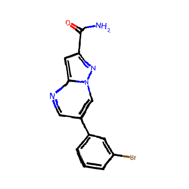 NC(=O)c1cc2ncc(-c3cccc(Br)c3)cn2n1